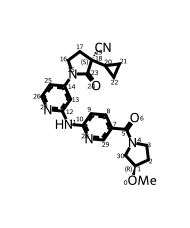 CO[C@@H]1CCN(C(=O)c2ccc(Nc3cc(N4CC[C@@](C#N)(C5CC5)C4=O)ccn3)nc2)C1